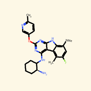 CNc1cc(F)c(C)c2c1[nH]c1nc(Oc3ccc(C)nc3)nc(NC3CCCC[C@@H]3N)c12